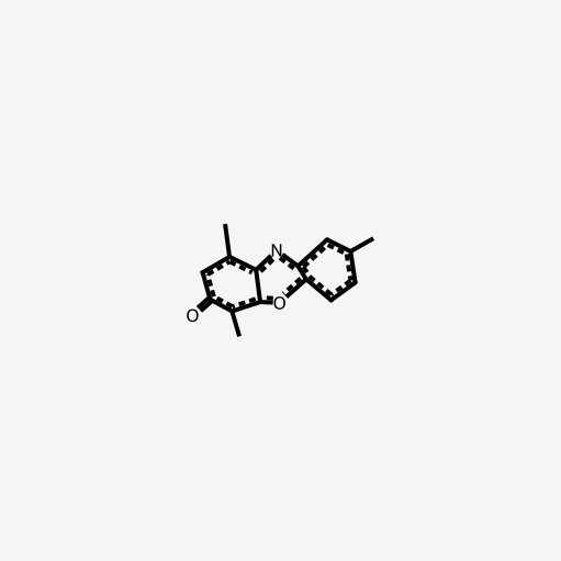 Cc1ccc2oc3c(C)c(=O)cc(C)c-3nc2c1